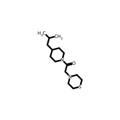 CC(C)CC1CCN(C(=O)CN2CCSCC2)CC1